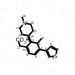 CC1C(c2ccsc2)=CC=C(CC(=O)O)C1=C1CCN(C)CC1